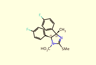 CSC1=N[C@@](C)(c2ccc(F)cc2)[C@H](c2ccc(F)cc2)N1C(=O)O